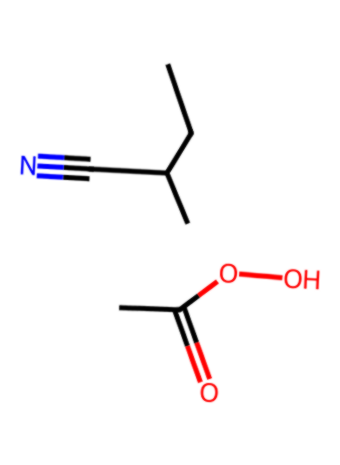 CC(=O)OO.CCC(C)C#N